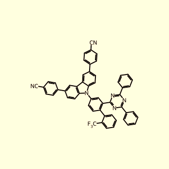 N#Cc1ccc(-c2ccc3c(c2)c2cc(-c4ccc(C#N)cc4)ccc2n3-c2ccc(-c3ccccc3C(F)(F)F)c(-c3nc(-c4ccccc4)nc(-c4ccccc4)n3)c2)cc1